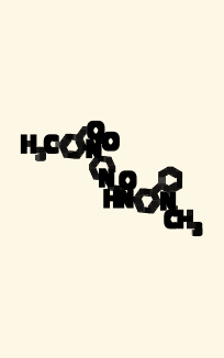 CCn1c2ccccc2c2cc(NC(=O)CN3CCC(N4C(=O)OCc5cc(C)ccc54)CC3)ccc21